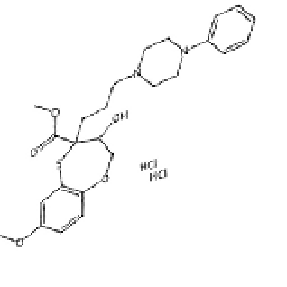 COC(=O)C1(CCCN2CCN(c3ccccc3)CC2)Sc2cc(OC)ccc2OCC1O.Cl.Cl